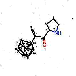 C=C(C(=O)C1CCCN1)[C]12[CH]3[CH]4[CH]5[CH]1[Fe]45321678[CH]2[CH]1[CH]6[CH]7[CH]28